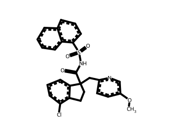 COc1ccc(CC2(C(=O)NS(=O)(=O)c3cccc4ccccc34)CCc3c(Cl)cccc32)nc1